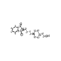 O=C1c2ccccc2C(=O)N1CCCCN1CCC(CCO)CC1